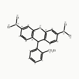 CCOC(=O)c1ccccc1C1c2ccc(N(CC)CC)cc2Oc2cc(N(CC)CC)ccc21